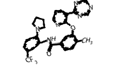 CNc1ncnc(-c2cccnc2Oc2cc(C(=O)Nc3cc(C(F)(F)F)ccc3N3CCCC3)ccc2C)n1